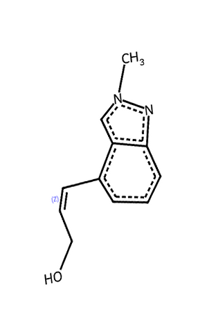 Cn1cc2c(/C=C\CO)cccc2n1